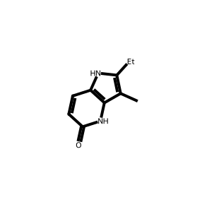 CCc1[nH]c2ccc(=O)[nH]c2c1C